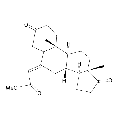 COC(=O)/C=C1\C[C@@H]2[C@H](CC[C@]3(C)C(=O)CC[C@@H]23)[C@@]2(C)CCC(=O)CC12